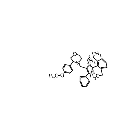 CCc1cccc(CC)c1-c1nc(-c2ccccc2)c(CN2CCOCC2c2ccc(OC)cc2)n1CC